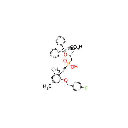 Cc1cc(C)c(C#CP(=O)(O)C[C@H](CC(=O)O)O[Si](c2ccccc2)(c2ccccc2)C(C)(C)C)c(OCc2ccc(F)cc2)c1